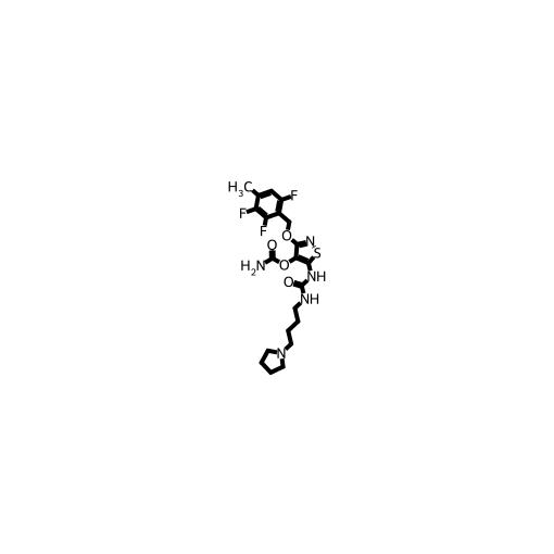 Cc1cc(F)c(COc2nsc(NC(=O)NCCCCN3CCCC3)c2OC(N)=O)c(F)c1F